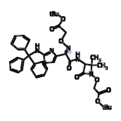 CC(C)(C)OC(=O)CO/N=C(/C(=O)NC1C(=O)N(OCC(=O)OC(C)(C)C)C1(C)C)c1csc(NC(c2ccccc2)(c2ccccc2)c2ccccc2)n1